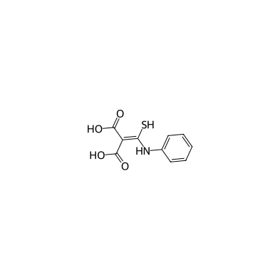 O=C(O)C(C(=O)O)=C(S)Nc1ccccc1